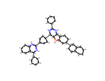 c1ccc(-c2nc(-c3ccc(-c4nc(-c5ccccc5)c5ccccc5n4)cc3)c3oc4cc(-c5ccc6ccccc6c5)ccc4c3n2)cc1